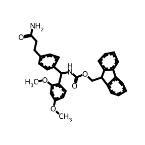 COc1ccc(C(NC(=O)OCC2c3ccccc3-c3ccccc32)c2ccc(CCC(N)=O)cc2)c(OC)c1